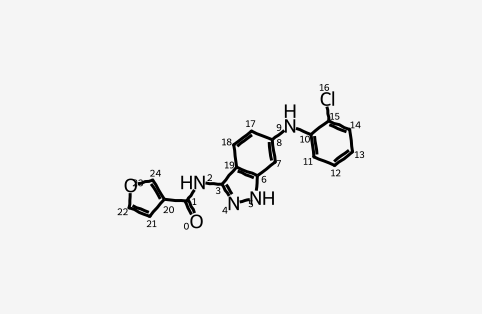 O=C(Nc1n[nH]c2cc(Nc3ccccc3Cl)ccc12)c1ccoc1